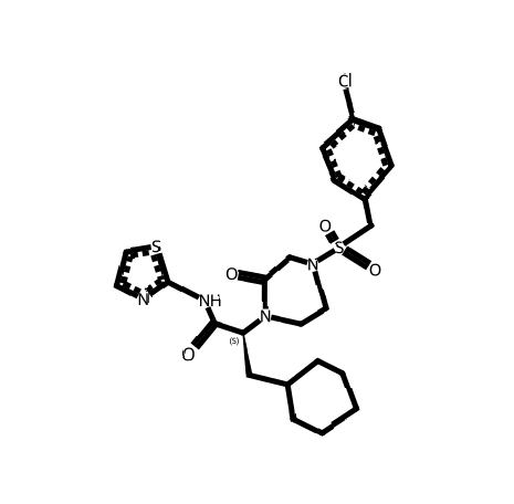 O=C(Nc1nccs1)[C@H](CC1CCCCC1)N1CCN(S(=O)(=O)Cc2ccc(Cl)cc2)CC1=O